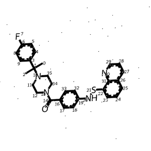 CC(C)(c1ccc(F)cc1)N1CCN(C(=O)c2ccc(NSc3cccc4cccnc34)cc2)CC1